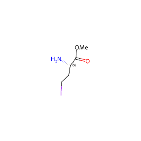 COC(=O)[C@@H](N)CCI